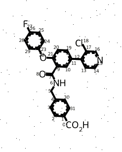 O=C(O)c1ccc(CNC(=O)c2cc(-c3ccncc3Cl)ccc2Oc2ccc(F)cc2)cc1